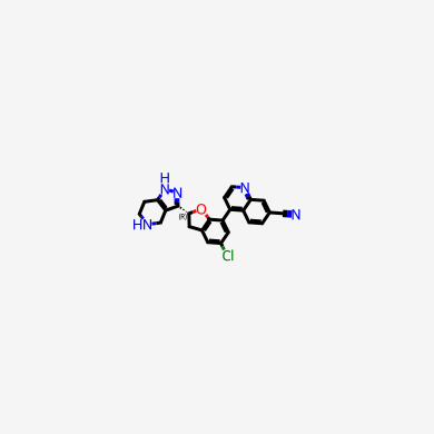 N#Cc1ccc2c(-c3cc(Cl)cc4c3O[C@@H](c3n[nH]c5c3CNCC5)C4)ccnc2c1